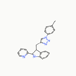 Cc1ccc(-n2cc(CC3C(c4ccccn4)=Nc4ccccc43)nn2)cc1